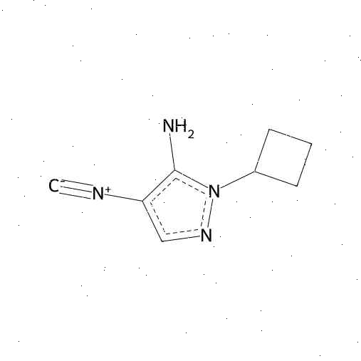 [C-]#[N+]c1cnn(C2CCC2)c1N